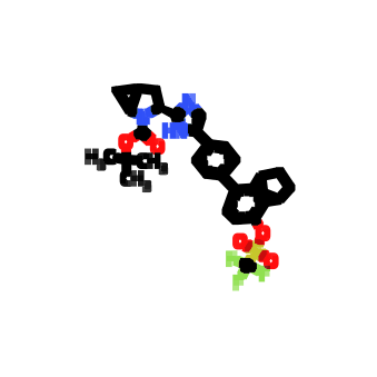 CC(C)(C)OC(=O)N1C2CC2C[C@H]1c1ncc(-c2ccc(-c3ccc(OS(=O)(=O)C(F)(F)F)c4c3C3CCC4C3)cc2)[nH]1